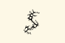 CNC(=O)c1c(Cl)c(=O)c2ccc(-c3nc(N[C@@H]4CCOC[C@H]4O)ncc3F)cc2n1C(C)C